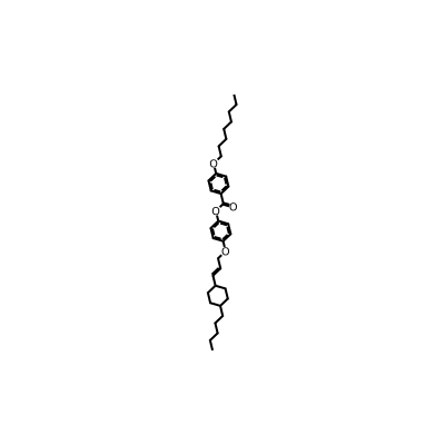 CCCCCCCCOc1ccc(C(=O)Oc2ccc(OC/C=C/C3CCC(CCCCC)CC3)cc2)cc1